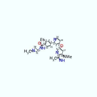 CCc1cc(-c2cc(Oc3cnc(C(C)=N)c(NC)c3)ccn2)ccc1C(=O)NC1CN(C)C1